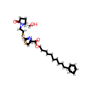 O=C(OCCCCCCCCCCc1ccccc1)c1csc(SCCN2C(=O)CC[C@@H]2CO)n1